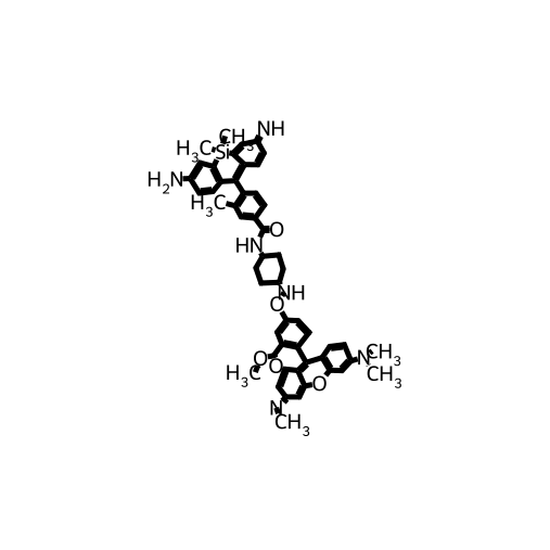 C/N=c1/ccc2c(-c3ccc(ONC4CCC(NC(=O)c5ccc(C6=C7C=CC(=N)C=C7[Si](C)(C)c7cc(N)ccc76)c(C)c5)CC4)cc3C(=O)OC)c3ccc(N(C)C)cc3oc-2c1